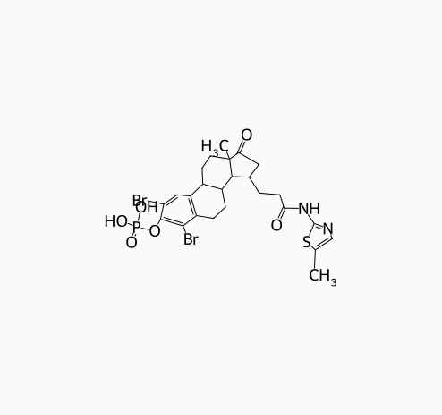 Cc1cnc(NC(=O)CCC2CC(=O)C3(C)CCC4c5cc(Br)c(OP(=O)(O)O)c(Br)c5CCC4C23)s1